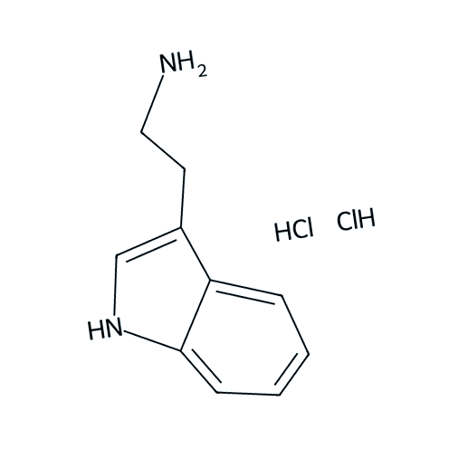 Cl.Cl.NCCc1c[nH]c2ccccc12